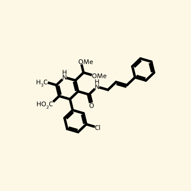 COC(OC)C1=C(C(=O)NC/C=C/c2ccccc2)C(c2cccc(Cl)c2)C(C(=O)O)=C(C)N1